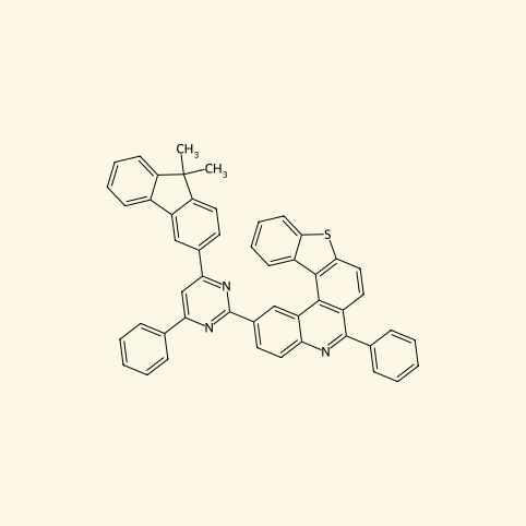 CC1(C)c2ccccc2-c2cc(-c3cc(-c4ccccc4)nc(-c4ccc5nc(-c6ccccc6)c6ccc7sc8ccccc8c7c6c5c4)n3)ccc21